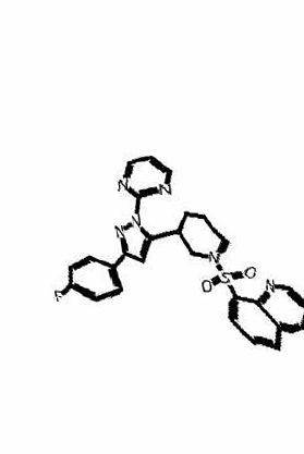 O=S(=O)(c1cccc2cccnc12)N1CCCC(c2cc(-c3ccc(F)cc3)nn2-c2ncccn2)C1